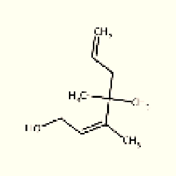 C=CCC(C)(C)/C(C)=C\CO